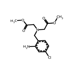 COC(=O)CN(CC(=O)OC)Cc1ccc(Cl)cc1N